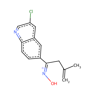 C=C(C)C/C(=N\O)c1ccc2ncc(Cl)cc2c1